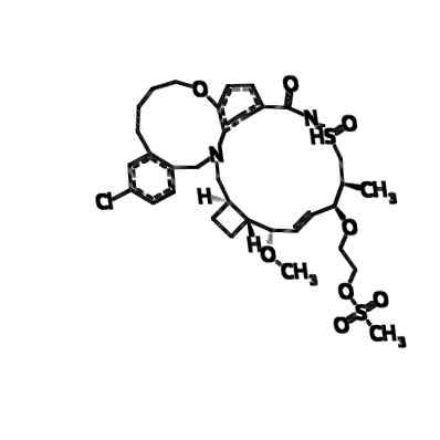 CO[C@H]1/C=C/[C@H](OCCOS(C)(=O)=O)[C@H](C)C/[SH](=O)=N\C(=O)c2ccc3c(c2)N(Cc2ccc(Cl)cc2CCCCO3)C[C@@H]2CC[C@H]21